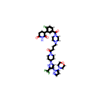 O=C1CCC(c2cc(C(=O)N3CCN(CCCC(=O)N4CCC(n5cc(-n6nccc6N6CCOCC6)c(C(F)F)n5)CC4)CC3)ccc2F)C(=O)N1